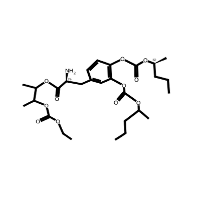 CCCC(C)OC(=O)Oc1cc(C[C@H](N)C(=O)OC(C)C(C)OC(=O)OCC)ccc1OC(=O)O[C@@H](C)CCC